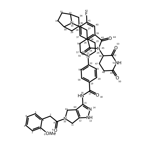 COc1ccccc1CC(=O)N1Cc2[nH]nc(NC(=O)c3ccc(N4CCC(CN5CC6CCC(C5)N6c5cc6c(cc5F)C(=O)N(C5CCC(=O)NC5=O)C6=O)CC4)cc3)c2C1